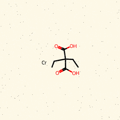 CCC(CC)(C(=O)O)C(=O)O.[Cr]